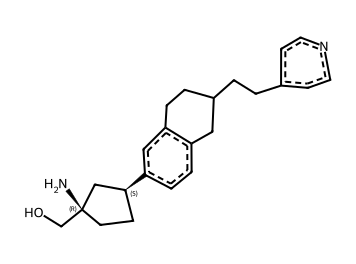 N[C@]1(CO)CC[C@H](c2ccc3c(c2)CCC(CCc2ccncc2)C3)C1